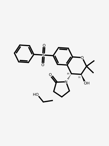 CC1(C)Oc2ccc(S(=O)(=O)c3ccccc3)cc2[C@@H](N2CCCC2=O)[C@@H]1O.CCO